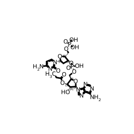 CCC(=O)O[C@H]1[C@@H](O)[C@H](n2cnc3c(N)ncnc32)O[C@@H]1COP(=O)(O)O[C@H]1C[C@H](n2ccc(N)nc2=O)O[C@@H]1COP(=O)(O)O